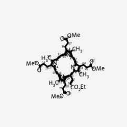 CCOC(=O)C=Cc1c2nc(cc3[nH]c(cc4nc(cc5[nH]c1c(CCC(=O)OC)c5C)C(CCC(=O)OC)=C4C)c(CCC(=O)OC)c3C)C(CCC(=O)OC)=C2C